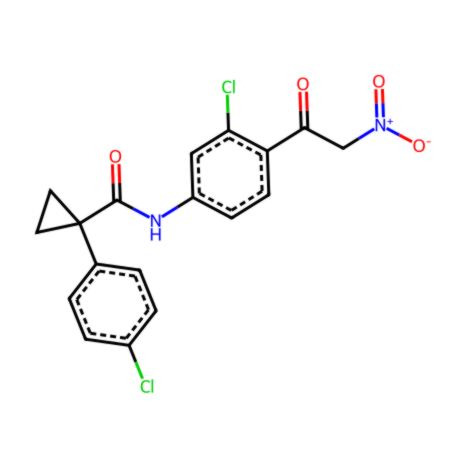 O=C(C[N+](=O)[O-])c1ccc(NC(=O)C2(c3ccc(Cl)cc3)CC2)cc1Cl